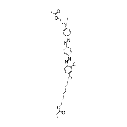 CCC(=O)OCCCCCCCCOc1ccc(N=Nc2ccc(N=Nc3ccc(N(CC)CCOC(=O)CC)cc3)cc2)c(Cl)c1